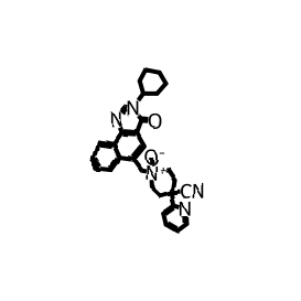 N#CC1(c2ccccn2)CC[N+]([O-])(Cc2cc3c(=O)n(C4CCCCC4)cnc3c3ccccc23)CC1